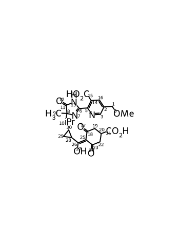 COCc1cnc(C2=NC(C)(C(C)C)C(=O)N2)c(C(=O)O)c1.O=C1CC(C(=O)O)CC(=O)C1=C(O)C1CC1